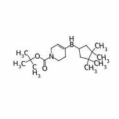 CC(C)(C)OC(=O)N1CC=C(BC2CC(C)(C)C(C)(C)C2)CC1